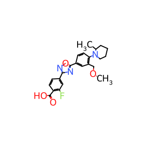 COCc1cc(-c2nc(-c3ccc(C(=O)O)c(F)c3)no2)ccc1N1CCCCC1C